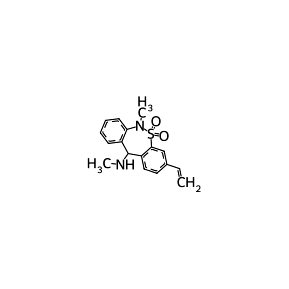 C=Cc1ccc2c(c1)S(=O)(=O)N(C)c1ccccc1C2NC